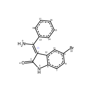 N/C(=C1\C(=O)Nc2ccc(Br)cc21)c1ccccc1